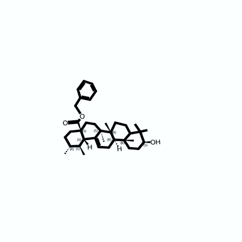 C[C@H]1[C@H](C)CC[C@]2(C(=O)OCc3ccccc3)CC[C@]3(C)C(=CC[C@@H]4[C@@]5(C)CC[C@H](O)C(C)(C)C5CC[C@]43C)[C@H]12